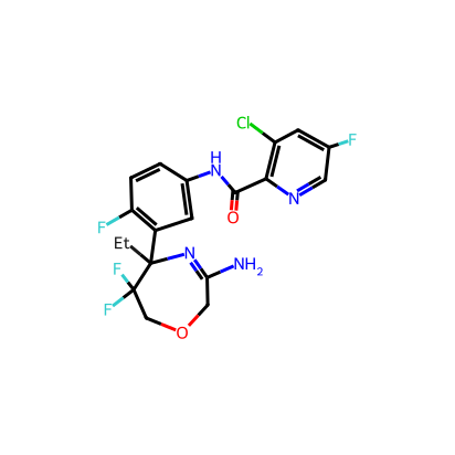 CCC1(c2cc(NC(=O)c3ncc(F)cc3Cl)ccc2F)N=C(N)COCC1(F)F